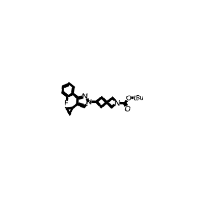 CC(C)(C)OC(=O)N1CC2(CC(n3cc(C4CC4)c(-c4ccccc4F)n3)C2)C1